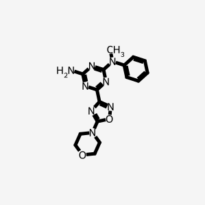 CN(c1ccccc1)c1nc(N)nc(-c2noc(N3CCOCC3)n2)n1